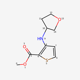 COC(=O)c1sccc1NC1CCOC1